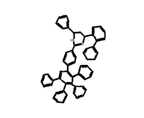 C1=CC(c2ccccc2C2CC(c3ccccc3)NC(c3ccc(-c4cc(-c5ccccc5)c(-c5ccccc5)c(-c5ccccc5)c4-c4ccccc4)cc3)=N2)=CCC1